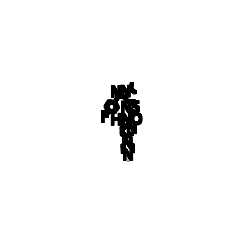 CC(C)n1cnc(-c2ccc(F)cc2)c1-c1csc(C(=O)Nc2ccc(N3CCN(C)CC3)cn2)n1